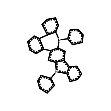 c1ccc(N2c3ccccc3-c3ccccc3-c3cc4c(cc32)c2ccccc2n4-c2ccccc2)cc1